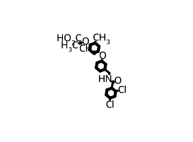 Cc1cc(Oc2cccc(CNC(=O)c3ccc(Cl)cc3Cl)c2)ccc1OC(C)(C)C(=O)O